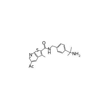 CC(=O)c1cnc2sc(C(=O)NCc3ccc(C(C)(C)N)cc3)c(C)c2c1